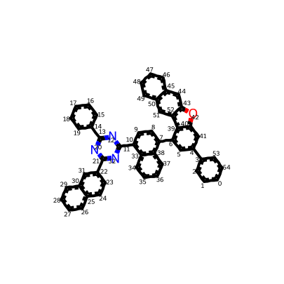 c1ccc(-c2cc(-c3ccc(-c4nc(-c5ccccc5)nc(-c5ccc6ccccc6c5)n4)c4ccccc34)c3c(c2)oc2cc4ccccc4cc23)cc1